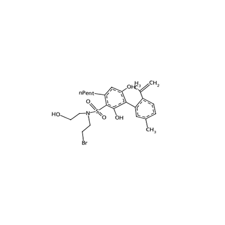 C=C(C)c1ccc(C)cc1-c1c(O)cc(CCCCC)c(S(=O)(=O)N(CCO)CCBr)c1O